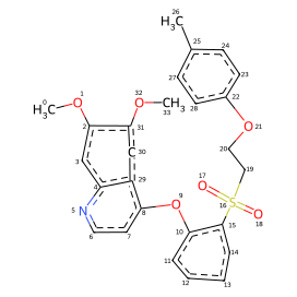 COc1cc2nccc(Oc3ccccc3S(=O)(=O)CCOc3ccc(C)cc3)c2cc1OC